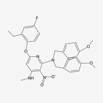 CCc1cc(F)ccc1Oc1cc(NC)c([N+](=O)[O-])c(N(Cc2ccc(OC)cc2)Cc2ccc(OC)cc2)n1